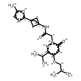 Cc1cnc(C23CC(NC(=O)Cn4nc(C(C)C)c(OCC(C)C)cc4=O)(C2)C3)o1